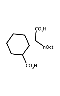 CCCCCCCCCC(=O)O.O=C(O)C1CCCCC1